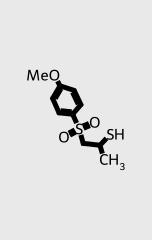 COc1ccc(S(=O)(=O)CC(C)S)cc1